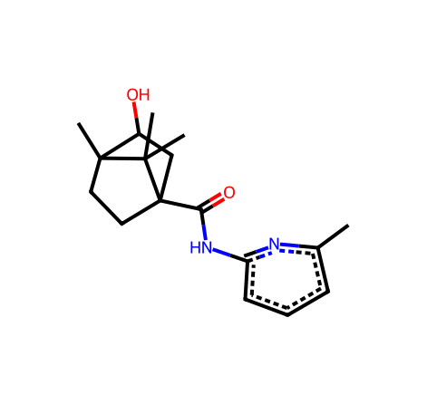 Cc1cccc(NC(=O)C23CCC(C)(C(O)C2)C3(C)C)n1